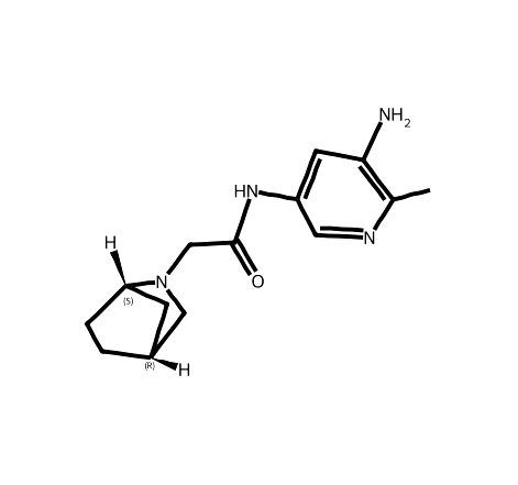 Cc1ncc(NC(=O)CN2C[C@@H]3CC[C@H]2C3)cc1N